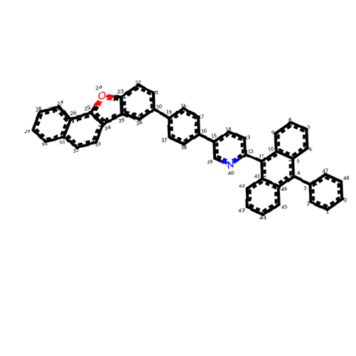 c1ccc(-c2c3ccccc3c(-c3ccc(-c4ccc(-c5ccc6oc7c8ccccc8ccc7c6c5)cc4)cn3)c3ccccc23)cc1